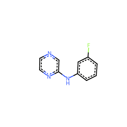 Fc1cccc(Nc2cnccn2)c1